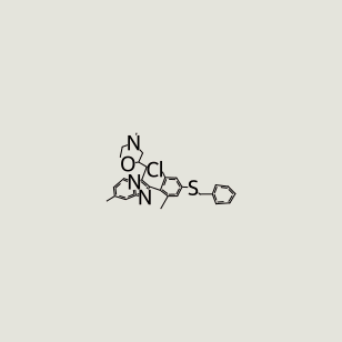 Cc1ccn2c(CC3CN(C)CCO3)c(-c3c(C)cc(SCc4ccccc4)cc3Cl)nc2c1